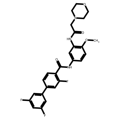 COc1ccc(NC(=O)c2ccc(-c3cc(F)cc(F)c3)cc2F)cc1NC(=O)CN1CCOCC1